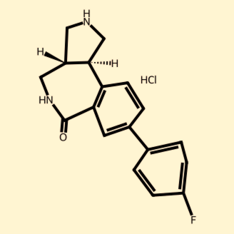 Cl.O=C1NC[C@@H]2CNC[C@H]2c2ccc(-c3ccc(F)cc3)cc21